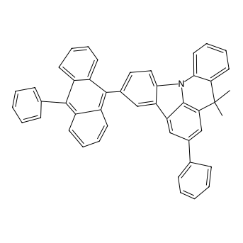 CC1(C)c2ccccc2-n2c3ccc(-c4c5ccccc5c(-c5ccccc5)c5ccccc45)cc3c3cc(-c4ccccc4)cc1c32